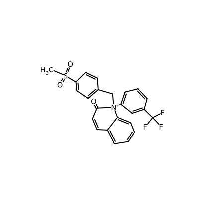 CS(=O)(=O)c1ccc(C[N+]2(c3cccc(C(F)(F)F)c3)C(=O)C=Cc3ccccc32)cc1